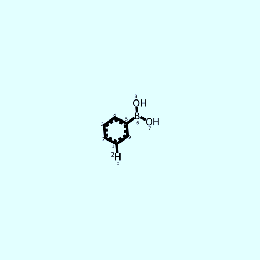 [2H]c1cccc(B(O)O)c1